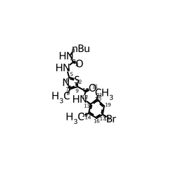 CCCCNC(=O)Nc1nc(C)c(C(=O)Nc2c(C)cc(Br)cc2C)s1